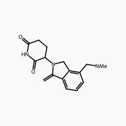 C=C1c2cccc(CNC)c2CN1C1CCC(=O)NC1=O